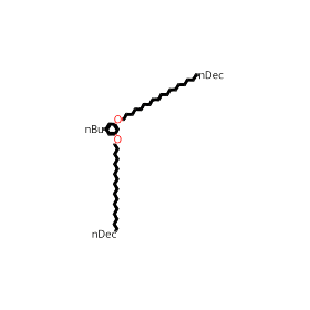 [CH2]CCCc1cc(OCCCCCCCCCCCCCCCCCCCCCCCCCCCC)cc(OCCCCCCCCCCCCCCCCCCCCCCCCCCCC)c1